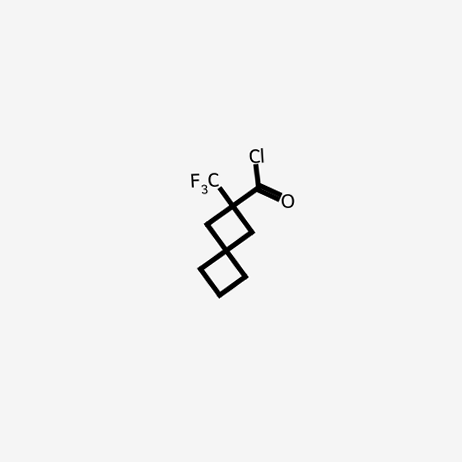 O=C(Cl)C1(C(F)(F)F)CC2(CCC2)C1